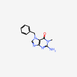 Cn1c(N)nc2ncn(Cc3ccccc3)c2c1=O